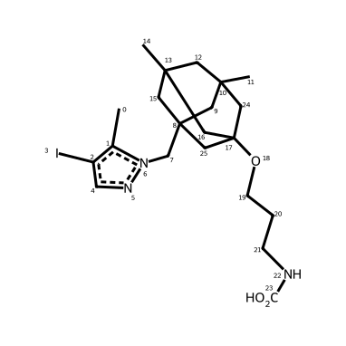 Cc1c(I)cnn1CC12CC3(C)CC(C)(C1)CC(OCCCNC(=O)O)(C3)C2